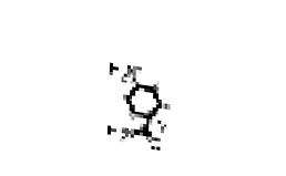 C[C@]1(C(N)=O)CC[C@@H](N)CC1